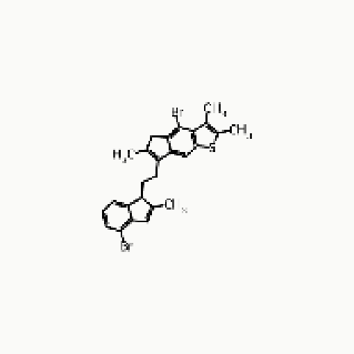 CC1=Cc2c(Br)cccc2C1CCC1=C(C)Cc2c1cc1sc(C)c(C)c1c2Br